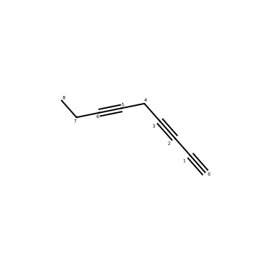 C#CC#CCC#CCC